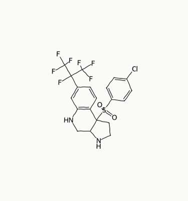 O=S(=O)(c1ccc(Cl)cc1)C12CCNC1CNc1cc(C(F)(C(F)(F)F)C(F)(F)F)ccc12